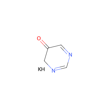 O=C1C=NC=NC1.[KH]